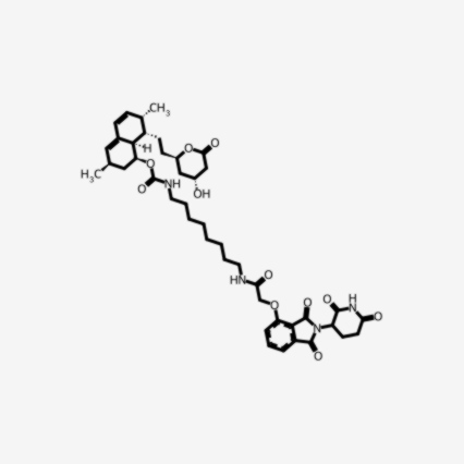 C[C@H]1C=C2C=C[C@H](C)[C@H](CC[C@@H]3C[C@@H](O)CC(=O)O3)[C@H]2[C@@H](OC(=O)NCCCCCCCCNC(=O)COc2cccc3c2C(=O)N(C2CCC(=O)NC2=O)C3=O)C1